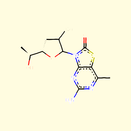 Cc1nc(N)nc2c1sc(=O)n2C1O[C@H]([C@H](C)O)CC1C(C)(C)C